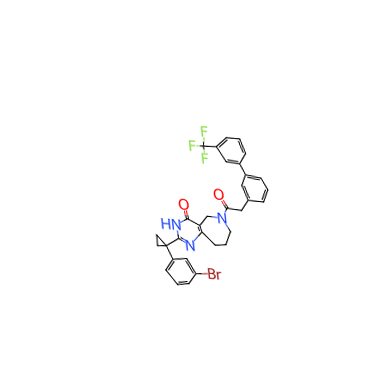 O=C(Cc1cccc(-c2cccc(C(F)(F)F)c2)c1)N1CCCc2nc(C3(c4cccc(Br)c4)CC3)[nH]c(=O)c2C1